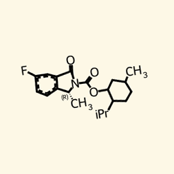 CC1CCC(C(C)C)C(OC(=O)N2C(=O)c3cc(F)ccc3[C@H]2C)C1